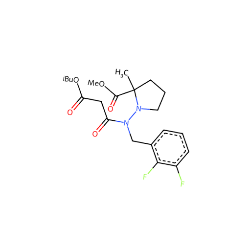 COC(=O)C1(C)CCCN1N(Cc1cccc(F)c1F)C(=O)CC(=O)OCC(C)C